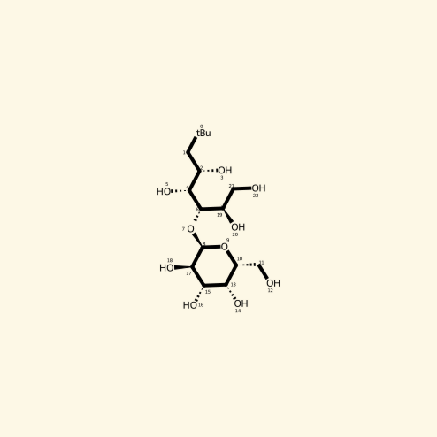 CC(C)(C)C[C@H](O)[C@@H](O)[C@@H](O[C@H]1O[C@H](CO)[C@H](O)[C@H](O)[C@H]1O)[C@H](O)CO